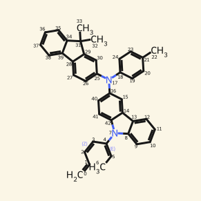 C=C/C=C\C(=C/C)n1c2ccccc2c2cc(N(c3ccc(C)cc3)c3ccc4c(c3)C(C)(C)c3ccccc3-4)ccc21